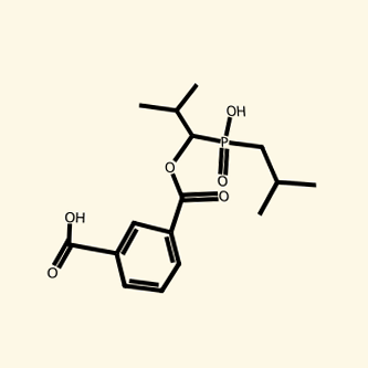 CC(C)CP(=O)(O)C(OC(=O)c1cccc(C(=O)O)c1)C(C)C